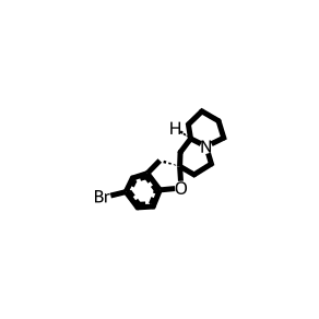 Brc1ccc2c(c1)C[C@]1(CCN3CCCC[C@@H]3C1)O2